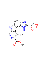 CCc1c(C(=O)OC(C)C)ncc2[nH]c3ccc4nc(C5COC(C)(C)O5)[nH]c4c3c12